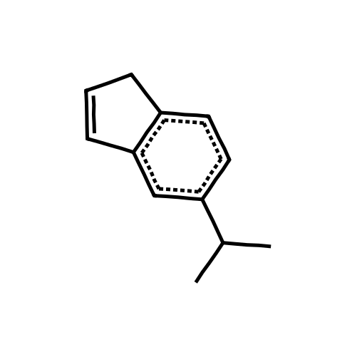 CC(C)c1ccc2c(c1)C=CC2